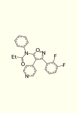 CCC(=O)N(c1ccccc1)c1onc(-c2cccc(F)c2F)c1-c1ccncc1